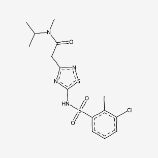 Cc1c(Cl)cccc1S(=O)(=O)Nc1nc(CC(=O)N(C)C(C)C)ns1